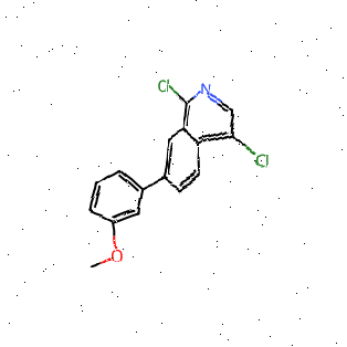 COc1cccc(-c2ccc3c(Cl)cnc(Cl)c3c2)c1